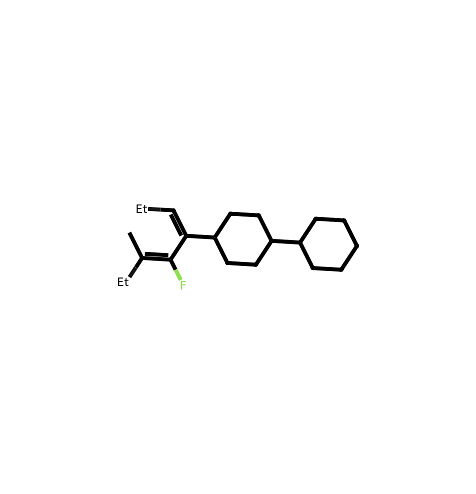 CC/C=C(\C(F)=C(/C)CC)C1CCC(C2CCCCC2)CC1